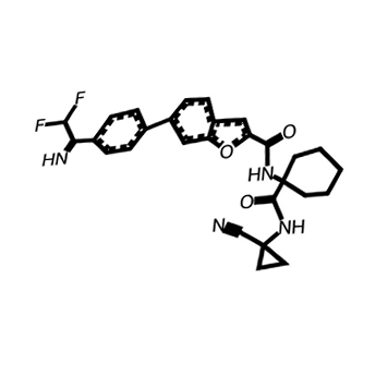 N#CC1(NC(=O)C2(NC(=O)c3cc4ccc(-c5ccc(C(=N)C(F)F)cc5)cc4o3)CCCCC2)CC1